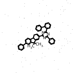 CC1(C)C2=CC(c3nc(-c4ccccc4)nc(-c4ccccc4-c4ccccc4)n3)=CCC2c2ccc(-c3ccccc3)cc21